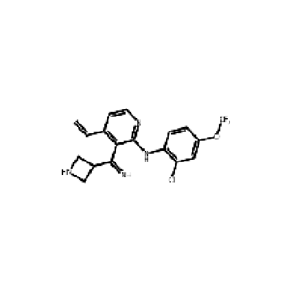 C=Cc1ccnc(Nc2ccc(OC(F)(F)F)cc2Cl)c1C(=N)C1CNC1